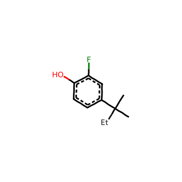 CCC(C)(C)c1ccc(O)c(F)c1